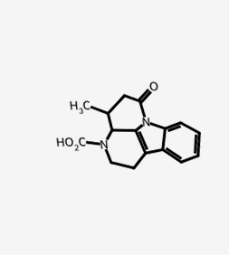 CC1CC(=O)n2c3c(c4ccccc42)CCN(C(=O)O)C31